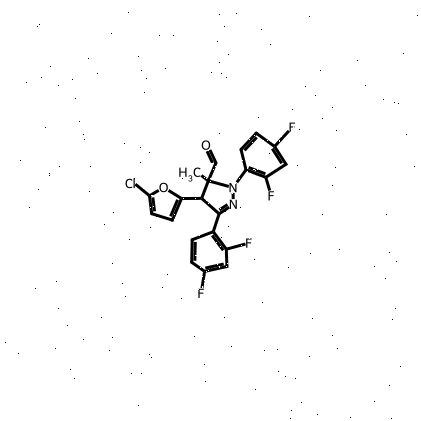 CC1(C=O)C(c2ccc(Cl)o2)C(c2ccc(F)cc2F)=NN1c1ccc(F)cc1F